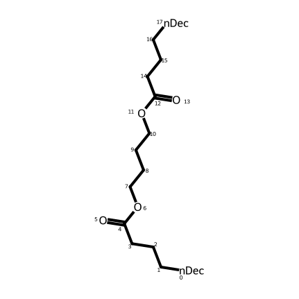 CCCCCCCCCCCCCC(=O)OCCCCOC(=O)CCCCCCCCCCCCC